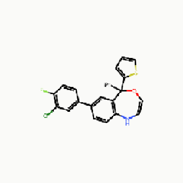 CC(C)C1(c2cccs2)OC=CNc2ccc(-c3ccc(F)c(Cl)c3)cc21